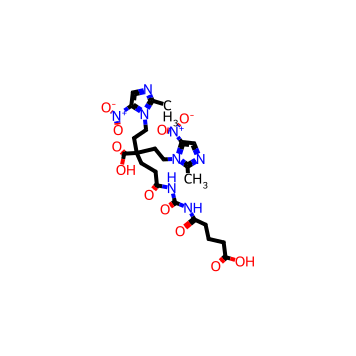 Cc1ncc([N+](=O)[O-])n1CCC(CCC(=O)NC(=O)NC(=O)CCCC(=O)O)(CCn1c([N+](=O)[O-])cnc1C)C(=O)O